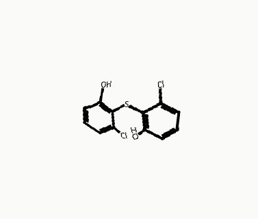 Oc1cccc(Cl)c1Sc1c(O)cccc1Cl